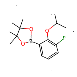 CC(C)Oc1c(F)cccc1B1OC(C)(C)C(C)(C)O1